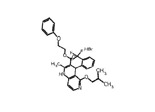 Br.CC1=C(C(=O)OCCOc2ccccc2)C(c2ccccc2C(F)(F)F)c2c(ccnc2OCC(C)C)N1